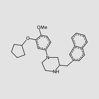 COc1ccc(N2CCNC(Cc3ccc4ccccc4c3)C2)cc1OC1CCCC1